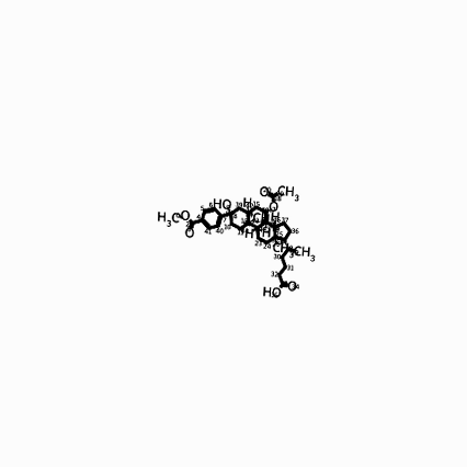 COC(=O)c1ccc([C@]2(O)CC[C@@]3(C)[C@H](C[C@@H](OC(C)=O)[C@@H]4[C@@H]3CC[C@]3(C)[C@@H](C(C)CCCC(=O)O)CC[C@@H]43)C2)cc1